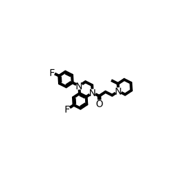 CC1CCCCN1CCC(=O)N1CCN(c2ccc(F)cc2)c2cc(F)ccc21